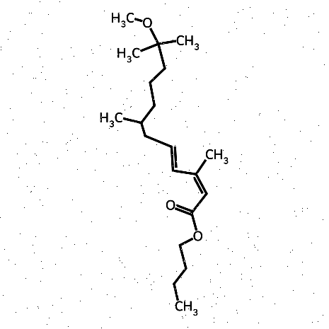 CCCCOC(=O)C=C(C)C=CCC(C)CCCC(C)(C)OC